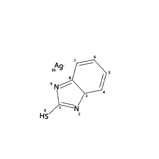 SC1=NC2C=CC=CC2=N1.[Ag]